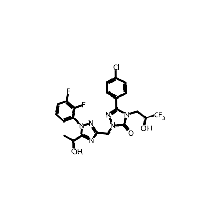 CC(O)c1nc(Cn2nc(-c3ccc(Cl)cc3)n(C[C@H](O)C(F)(F)F)c2=O)nn1-c1cccc(F)c1F